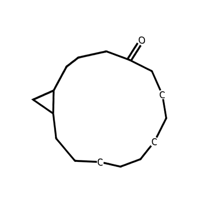 O=C1CCCCCCCCCC2CC2CCC1